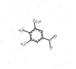 CCN(CC)c1cc(C)c(N)c(C(=O)O)c1